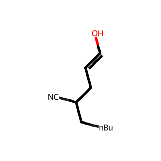 CCCCCC(C#N)CC=CO